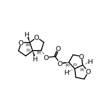 O=C(O[C@H]1CO[C@H]2OCC[C@H]21)O[C@H]1CO[C@H]2OCC[C@H]21